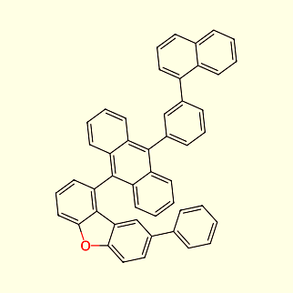 c1ccc(-c2ccc3oc4cccc(-c5c6ccccc6c(-c6cccc(-c7cccc8ccccc78)c6)c6ccccc56)c4c3c2)cc1